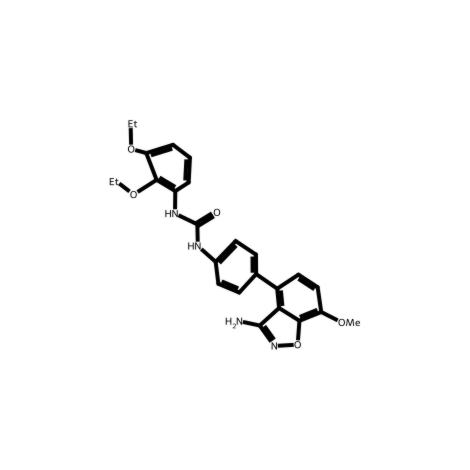 CCOc1cccc(NC(=O)Nc2ccc(-c3ccc(OC)c4onc(N)c34)cc2)c1OCC